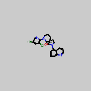 O=C1N(c2cccc3ncccc23)CC[C@@]12CCCN(c1ncc(Cl)cc1Cl)C2